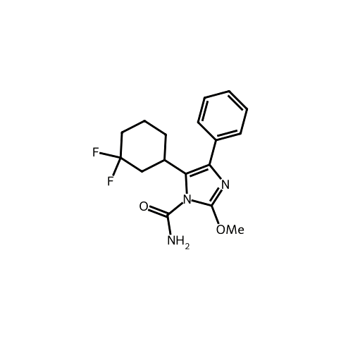 COc1nc(-c2ccccc2)c(C2CCCC(F)(F)C2)n1C(N)=O